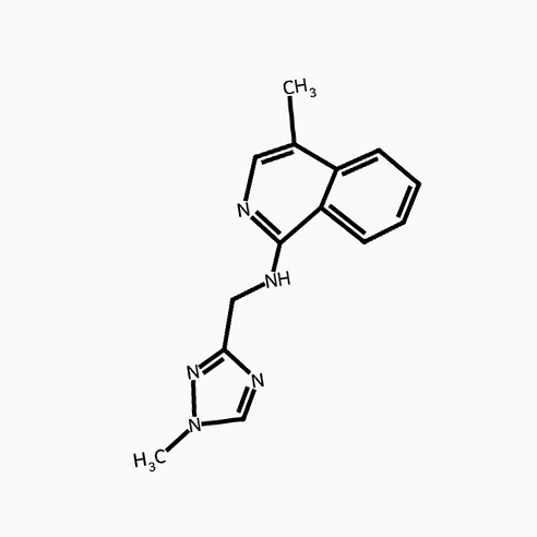 Cc1cnc(NCc2ncn(C)n2)c2ccccc12